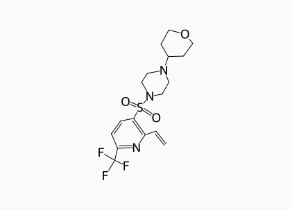 C=Cc1nc(C(F)(F)F)ccc1S(=O)(=O)N1CCN(C2CCOCC2)CC1